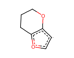 [c]1coc2c1OCCC2